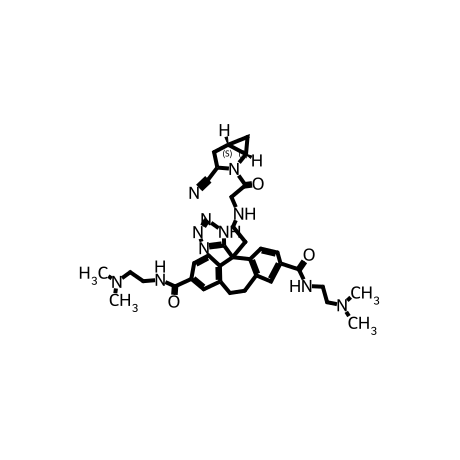 CN(C)CCNC(=O)c1ccc2c(c1)CCc1cc(C(=O)NCCN(C)C)ccc1C2(CCNCC(=O)N1C(C#N)C[C@@H]2C[C@@H]21)c1nnn[nH]1